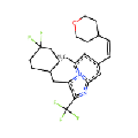 Cc1cc(/C=C\C2CCOCC2)cc2nc(C(F)(F)F)c(CC3CCC(F)(F)CC3)n12